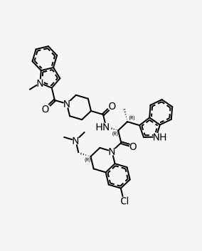 C[C@H](c1c[nH]c2ccccc12)[C@@H](NC(=O)C1CCN(C(=O)c2cc3ccccc3n2C)CC1)C(=O)N1C[C@@H](CN(C)C)Cc2cc(Cl)ccc21